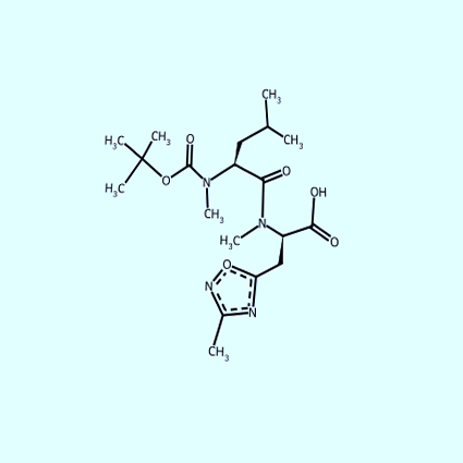 Cc1noc(C[C@H](C(=O)O)N(C)C(=O)[C@H](CC(C)C)N(C)C(=O)OC(C)(C)C)n1